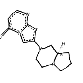 O=c1ccnc2sc(N3CCN4CCC[C@@H]4C3)cn12